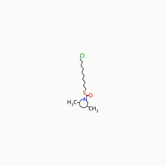 CC1CCC(C)CN(C(=O)SCCCCCCCCCCCl)C1